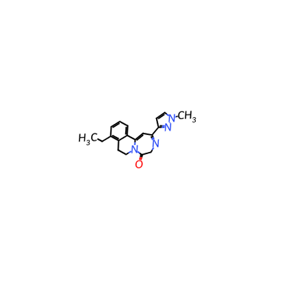 CCc1cccc2c1CCN1C(=O)CN=C(c3ccn(C)n3)C=C21